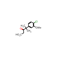 COc1cc(C(C)(C)C(=O)CC(=O)O)ccc1Cl